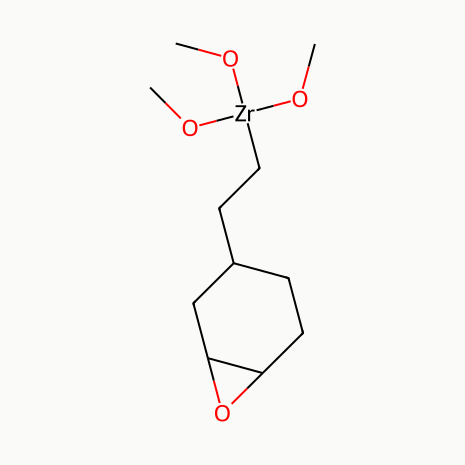 C[O][Zr]([CH2]CC1CCC2OC2C1)([O]C)[O]C